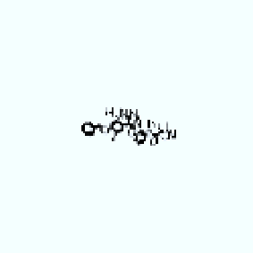 N#CC(Cl)C(=O)Nc1cccc(Oc2ncnc(N)c2-c2ccc(OCc3ccccc3)c(F)c2)c1